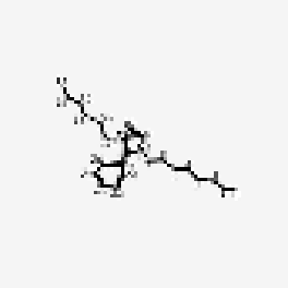 CCCCCCCCn1cc[n+](CCCCCC)c1-c1ccccc1